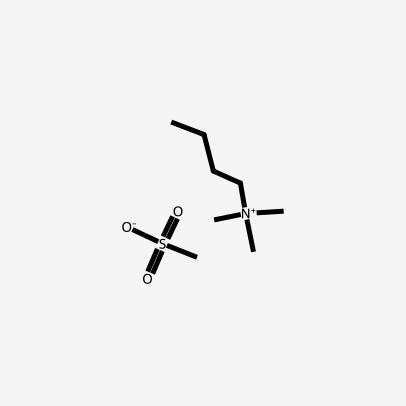 CCCC[N+](C)(C)C.CS(=O)(=O)[O-]